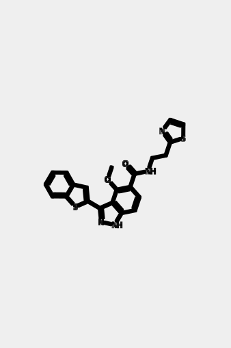 COc1c(C(=O)NCCc2nccs2)ccc2[nH]nc(-c3cc4ccccc4s3)c12